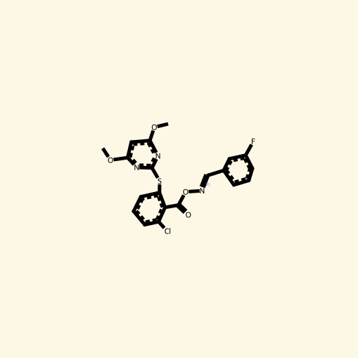 COc1cc(OC)nc(Sc2cccc(Cl)c2C(=O)O/N=C/c2cccc(F)c2)n1